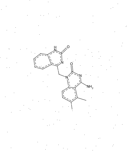 Cc1ccc2c(c(N)nc(=O)n2Cc2nc(=O)[nH]c3ccccc23)c1C